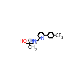 CC(C)(CO)CNCc1cccc(-c2ccc(C(F)(F)F)cc2)n1